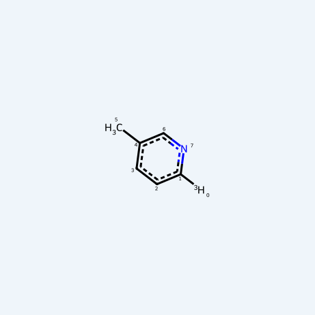 [3H]c1ccc(C)cn1